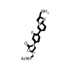 CC(=O)NC[C@H]1CN(c2ccc(-c3ccc4nc(CN)cn4c3)c(F)c2)C(=O)O1